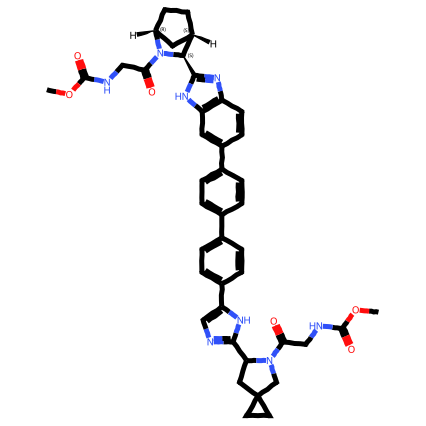 COC(=O)NCC(=O)N1CC2(CC2)CC1c1ncc(-c2ccc(-c3ccc(-c4ccc5nc([C@@H]6[C@H]7CC[C@H](C7)N6C(=O)CNC(=O)OC)[nH]c5c4)cc3)cc2)[nH]1